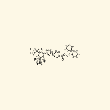 CC(C)(C)c1cc(-c2ncc(C3CCN(C(=O)OCC4c5ccccc5-c5ccccc54)CC3)s2)cc(S(CF)(CF)(CF)(CF)CF)c1